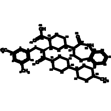 Cc1cc(C)cc(CC(C(=O)N2CCN(C3CCN(C)CC3)CC2)[C@H]2CC(N3CCc4ccccc4NC3=O)CCN2C(=O)O)c1